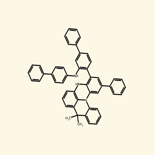 CC1(C)c2ccccc2N2c3cc(-c4ccccc4)cc(-c4ccc(-c5ccccc5)cc4Nc4ccc(-c5ccccc5)cc4)c3Bc3cccc1c32